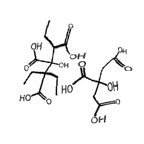 CCC(C(=O)O)C(O)(C(=O)O)C(CC)(CC)C(=O)O.O=C(O)CC(O)(CC(=O)O)C(=O)O